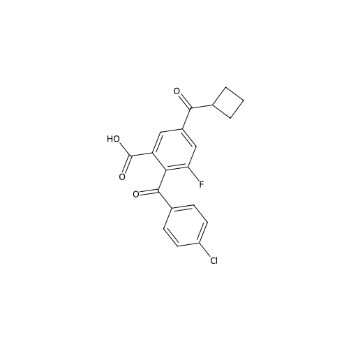 O=C(O)c1cc(C(=O)C2CCC2)cc(F)c1C(=O)c1ccc(Cl)cc1